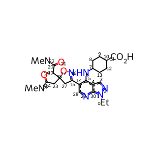 CCn1ncc2c(NC3CCC(C(=O)O)CC3)c(C3=NOC(CC(=O)NC)(CC(=O)NC)C3)cnc21